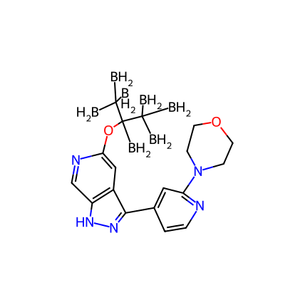 BC(B)(B)C(B)(Oc1cc2c(-c3ccnc(N4CCOCC4)c3)n[nH]c2cn1)C(B)(B)B